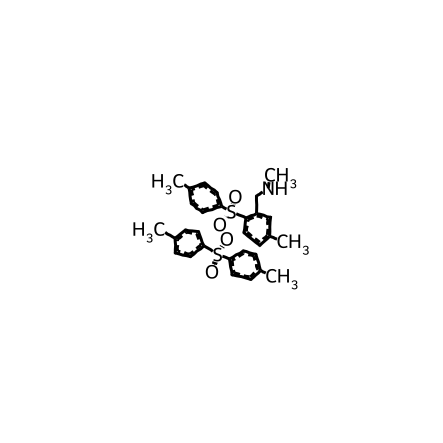 CNCc1cc(C)ccc1S(=O)(=O)c1ccc(C)cc1.Cc1ccc(S(=O)(=O)c2ccc(C)cc2)cc1